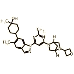 Cc1nc(N2C[C@@H]3C[C@H]2CN3C2COC2)cc(-n2ncc3cc(C)c(C4CCC(C)(O)CC4)cc32)n1